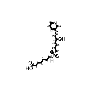 O=C(O)CCCCCCNS(=O)(=O)CCCCC(O)COc1cccnc1